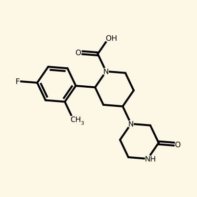 Cc1cc(F)ccc1C1CC(N2CCNC(=O)C2)CCN1C(=O)O